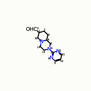 O=CC1CCC2CN(c3ncccn3)CCN2C1